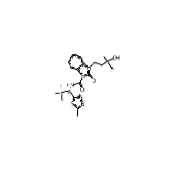 Cc1nnc([C@@H](NC(=O)n2c(=O)n(CCC(C)(C)O)c3ccccc32)C(C)(C)C)s1